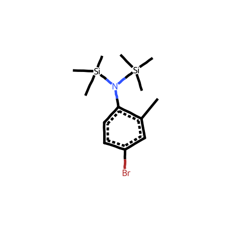 Cc1cc(Br)ccc1N([Si](C)(C)C)[Si](C)(C)C